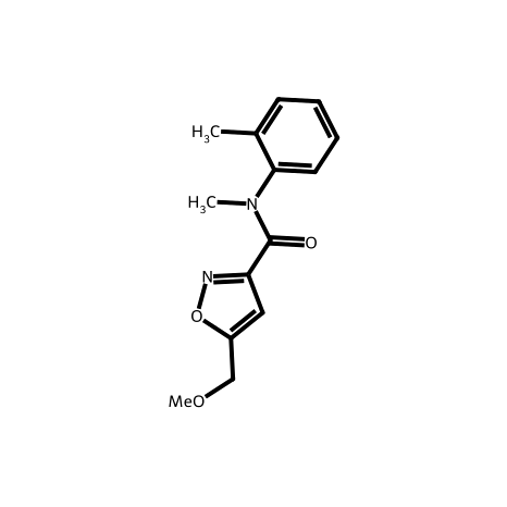 COCc1cc(C(=O)N(C)c2ccccc2C)no1